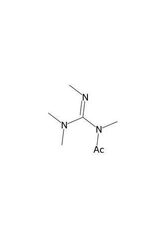 C/N=C(\N(C)C)N(C)C(C)=O